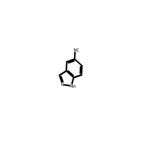 [C-]#[N+]c1ccc2[nH]ncc2c1